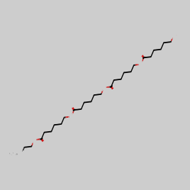 COCCOC(=O)CCCCCOC(=O)CCCCCOC(=O)CCCCCOC(=O)CCCCCO